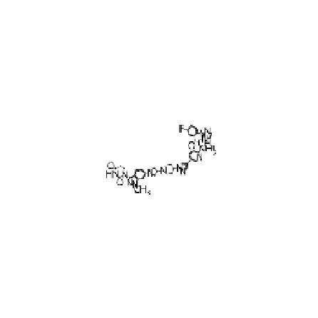 C[C@H](Oc1cc(-c2cnn(C3CCN(C4CN(c5ccc6c(N7CCC(=O)NC7=O)nn(C)c6c5)C4)CC3)c2)cnc1N)c1cc(F)ccc1-n1nccn1